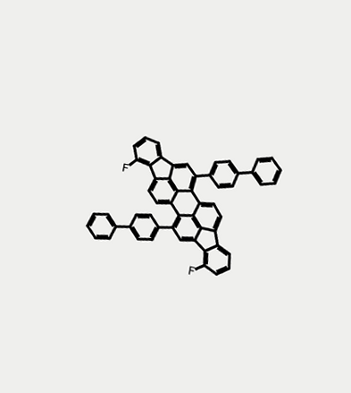 Fc1cccc2c1-c1ccc3c4c(-c5ccc(-c6ccccc6)cc5)cc5c6c(ccc(c7c(-c8ccc(-c9ccccc9)cc8)cc-2c1c37)c64)-c1cccc(F)c1-5